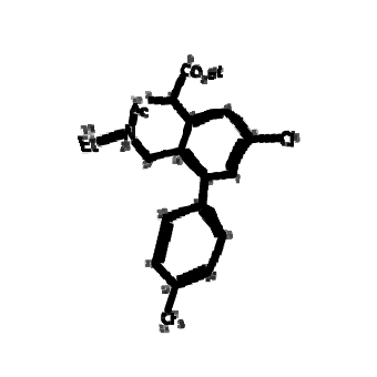 CCOC(=O)C(C)c1cc(Cl)cc(-c2ccc(C(F)(F)F)cc2)c1CN(CC)C(C)=O